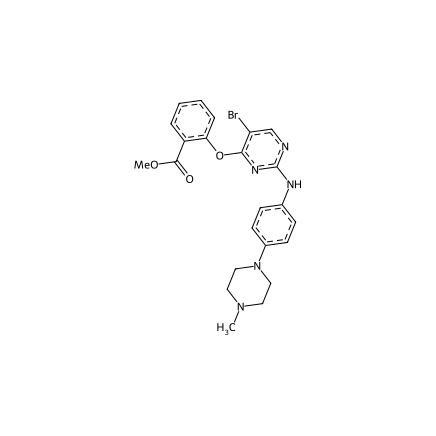 COC(=O)c1ccccc1Oc1nc(Nc2ccc(N3CCN(C)CC3)cc2)ncc1Br